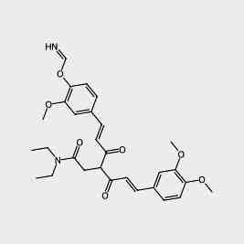 CCN(CC)C(=O)CC(C(=O)/C=C/c1ccc(OC)c(OC)c1)C(=O)/C=C/c1ccc(OC=N)c(OC)c1